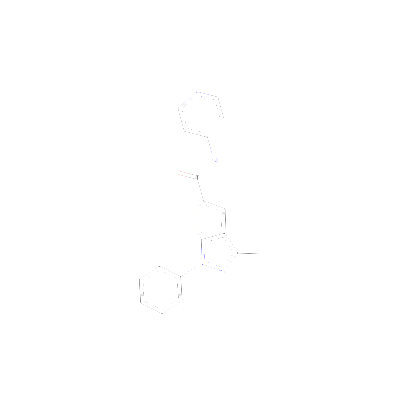 Cc1nn(-c2ccccc2)c2sc(C(=O)Nc3ccncc3)cc12